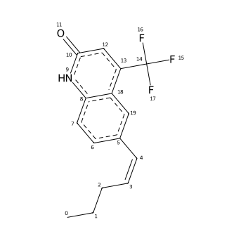 CCC/C=C\c1ccc2[nH]c(=O)cc(C(F)(F)F)c2c1